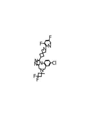 CC1(N2Cc3cc(Cl)ccc3-n3c(nnc3C3CC4(C3)CN(c3ncc(F)cc3F)C4)C2)CC(F)(F)C1